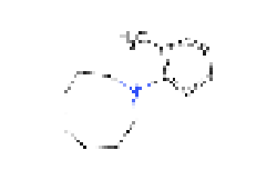 Cc1ccccc1N1CCCCCCC1